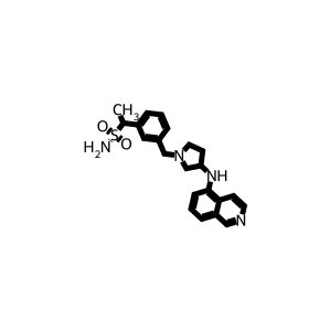 CC(c1cccc(CN2CCC(Nc3cccc4cnccc34)C2)c1)S(N)(=O)=O